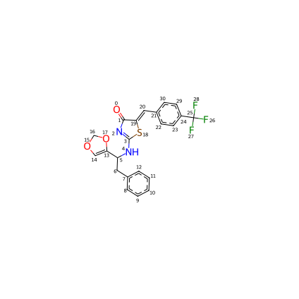 O=C1N=C(NC(Cc2ccccc2)C2=COCO2)SC1=Cc1ccc(C(F)(F)F)cc1